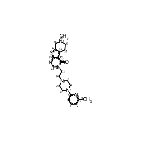 Cc1cccc(N2CCN(CCn3cnc4sc5c(c4c3=O)CCN(C)C5)CC2)n1